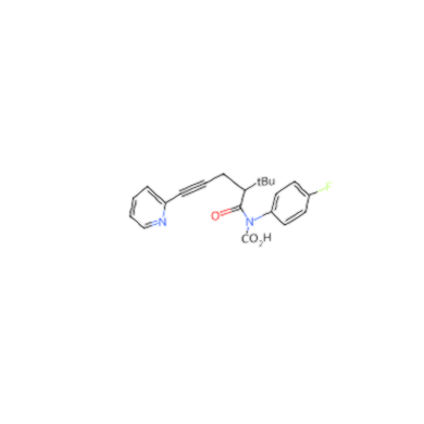 CC(C)(C)C(CC#Cc1ccccn1)C(=O)N(C(=O)O)c1ccc(F)cc1